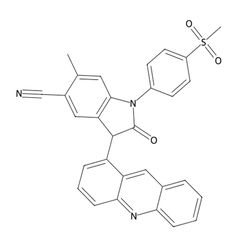 Cc1cc2c(cc1C#N)C(c1cccc3nc4ccccc4cc13)C(=O)N2c1ccc(S(C)(=O)=O)cc1